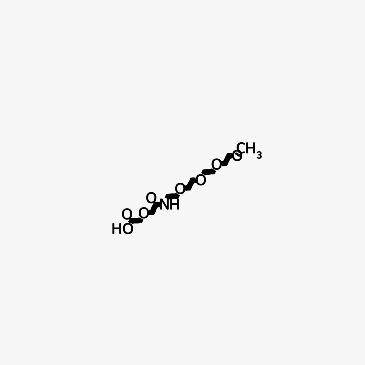 COCCOCCOCCOCCNC(=O)COCC(=O)O